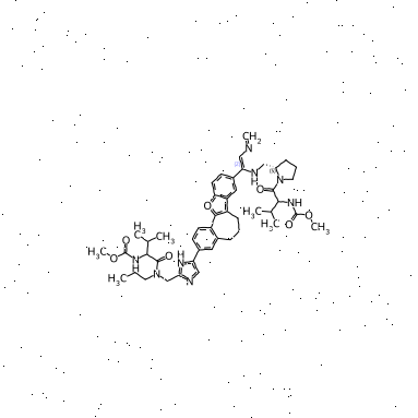 C=N/C=C(\NC[C@@H]1CCCN1C(=O)C(NC(=O)OC)C(C)C)c1ccc2oc3c(c2c1)CCCc1cc(-c2cnc(CN(CCC)C(=O)C(NC(=O)OC)C(C)C)[nH]2)ccc1-3